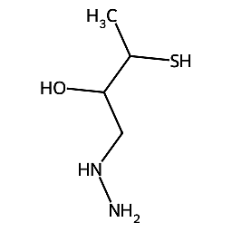 CC(S)C(O)CNN